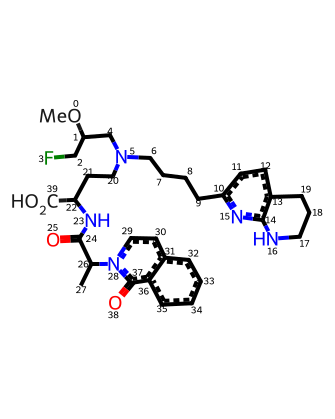 COC(CF)CN(CCCCc1ccc2c(n1)NCCC2)CCC(NC(=O)C(C)n1ccc2ccccc2c1=O)C(=O)O